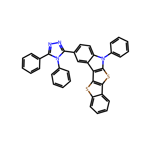 c1ccc(-c2nnc(-c3ccc4c(c3)c3c5sc6ccccc6c5sc3n4-c3ccccc3)n2-c2ccccc2)cc1